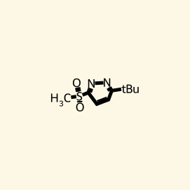 CC(C)(C)c1ccc(S(C)(=O)=O)nn1